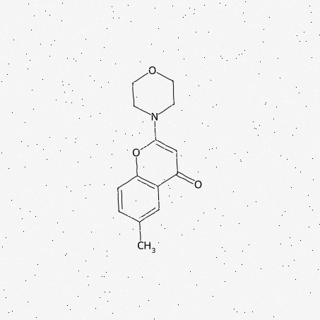 Cc1ccc2oc(N3CCOCC3)cc(=O)c2c1